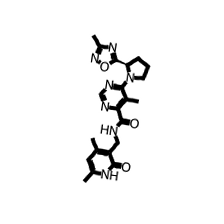 Cc1noc([C@H]2CCCN2c2ncnc(C(=O)NCc3c(C)cc(C)[nH]c3=O)c2C)n1